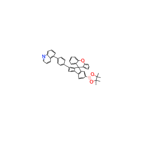 CC1(C)OB(c2ccc3c(c2)C2(c4ccccc4Oc4ccccc42)c2cc(-c4ccc(-c5cccc6ncccc56)cc4)ccc2-3)OC1(C)C